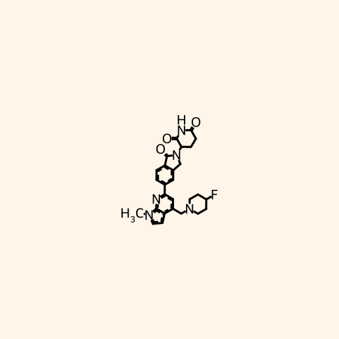 Cn1ccc2c(CN3CCC(F)CC3)cc(-c3ccc4c(c3)CN(C3CCC(=O)NC3=O)C4=O)nc21